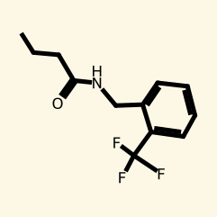 CCCC(=O)NCc1ccccc1C(F)(F)F